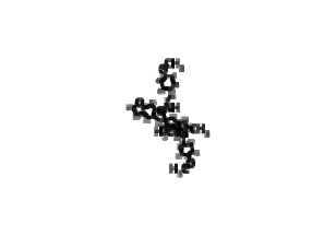 COc1ccc(CCNC(=O)C(Cc2ccc3occc3c2)(Cc2cc(C)nn2C)C(=O)NCCc2ccc(OC)cc2)cc1